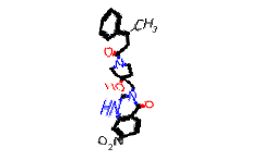 C[C@H](CC(=O)N1CCC(O)(CN2CNc3cc([N+](=O)[O-])ccc3C2=O)CC1)c1ccccc1